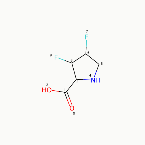 O=C(O)C1NCC(F)C1F